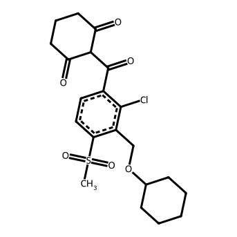 CS(=O)(=O)c1ccc(C(=O)C2C(=O)CCCC2=O)c(Cl)c1COC1CCCCC1